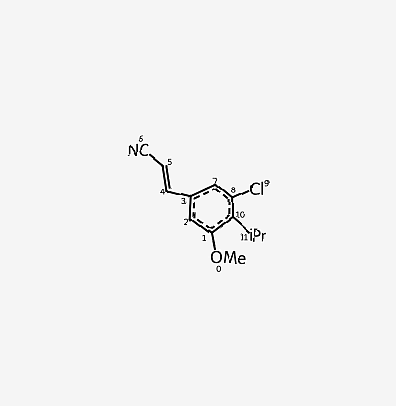 COc1cc(/C=C/C#N)cc(Cl)c1C(C)C